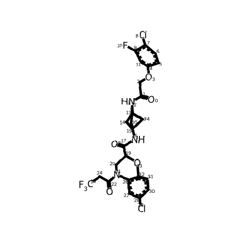 O=C(COc1ccc(Cl)c(F)c1)NC12CC(NC(=O)C3CN(C(=O)CC(F)(F)F)c4cc(Cl)ccc4O3)(C1)C2